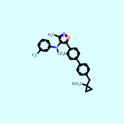 CCOC(=O)N(c1cccc(C(F)(F)F)c1)c1c(C)noc1-c1ccc(-c2ccc(CC3(C(=O)OCC)CC3)cc2)cc1